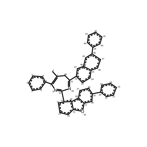 CC1=C(c2ccccc2)N=C(c2cccc3oc4cc(-c5ccccc5)ccc4c23)N=C(c2ccc3ccc(-c4ccccc4)cc3c2)C1